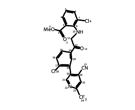 COC(=O)c1cccc(Cl)c1NCC(=O)c1ccc(Cl)c(-c2cnc(C(F)(F)F)cc2C#N)c1